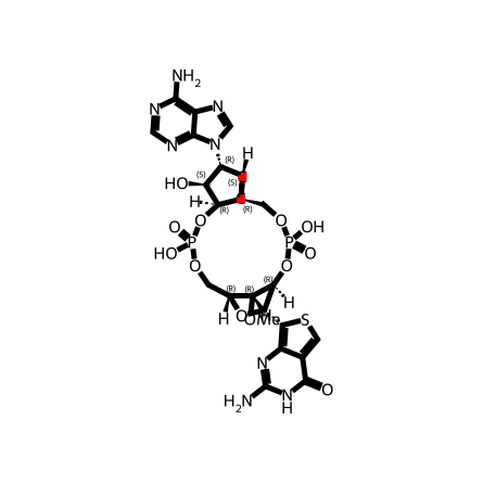 CO[C@H]1[C@H]2OP(=O)(O)OC[C@@]34CC[C@@H]3[C@@H](n3cnc5c(N)ncnc53)[C@H](O)[C@@H]4OP(=O)(O)OC[C@H]1O[C@H]2c1scc2c(=O)[nH]c(N)nc12